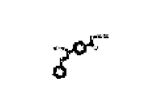 CCCCCCCCCCOC(=O)c1ccc(N(C=Nc2ccccc2)CCCCCCCCCC)cc1